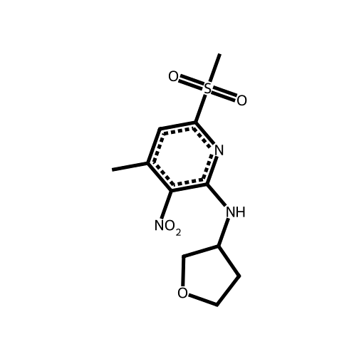 Cc1cc(S(C)(=O)=O)nc(NC2CCOC2)c1[N+](=O)[O-]